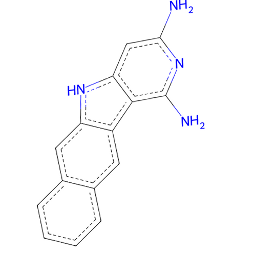 Nc1cc2[nH]c3cc4ccccc4cc3c2c(N)n1